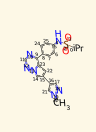 CC(C)S(=O)(=O)Nc1ccc(-c2ncnn3cc(-c4cnn(C)c4)cc23)cc1